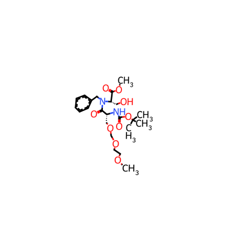 COCCOCOC[C@@H](NC(=O)OC(C)(C)C)C(=O)N(Cc1ccccc1)[C@@H](CO)C(=O)OC